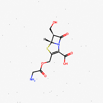 NCC(=O)OCC1=C(C(=O)O)N2C(=O)[C@H](CO)[C@H]2S1